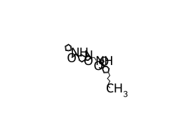 CCCCCc1ccc(S(=O)(=O)NCCc2nc3cc(C(=O)Nc4ccccc4)ccc3o2)cc1